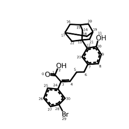 O=C(O)C(=CCCc1ccc(O)c(C23CC4CC(CC(C4)C2)C3)c1)c1cccc(Br)c1